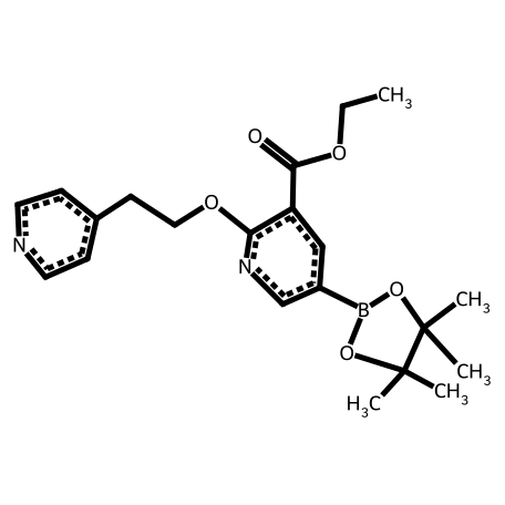 CCOC(=O)c1cc(B2OC(C)(C)C(C)(C)O2)cnc1OCCc1ccncc1